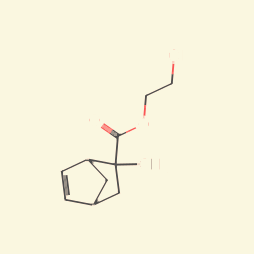 CC1(C(=O)OCCO)CC2C=CC1C2